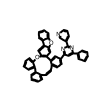 C1=C\c2ccc(-c3cc(-c4ccccc4)nc(-c4cccnc4)n3)cc2-c2cc3oc4ccccc4c3cc2Oc2ccccc2-c2ccccc2/1